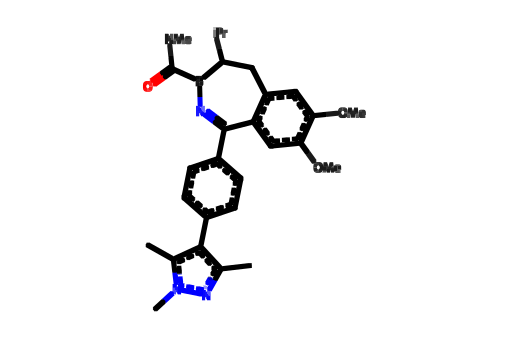 CNC(=O)B1N=C(c2ccc(-c3c(C)nn(C)c3C)cc2)c2cc(OC)c(OC)cc2CC1C(C)C